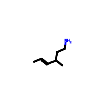 CC=CC(C)CCN